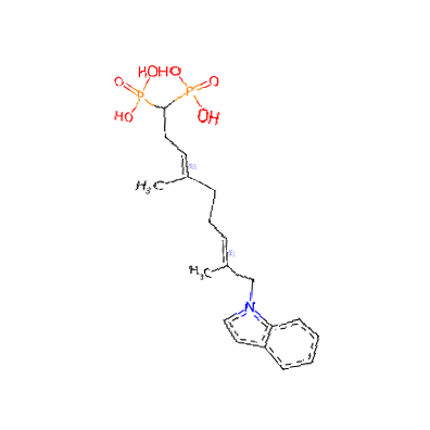 C/C(=C\CC(P(=O)(O)O)P(=O)(O)O)CC/C=C(\C)Cn1ccc2ccccc21